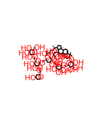 C[C@H](CC[C@@H](O[C@@H]1O[C@H](CO[C@H]2O[C@H](CO[C@H]3O[C@H](CO)[C@@H](O)[C@H](O)[C@H]3O)[C@@H](O)[C@H](O)[C@H]2OOC[C@@H]2C[C@H](O)CCO2)C[C@H](O)C1O[C@H]1C[C@@H](O)C[C@@H](CO)O1)C(C)(C)O)C1CC[C@@]2(C)C3CC=C4C(CC[C@H](O[C@@H]5O[C@H](CO[C@H]6O[C@H](CO)[C@@H](O)[C@H](O)[C@H]6O)[C@@H](O)[C@H](O)[C@H]5O)C4(C)C)[C@]3(C)[C@H](O)C[C@]12C